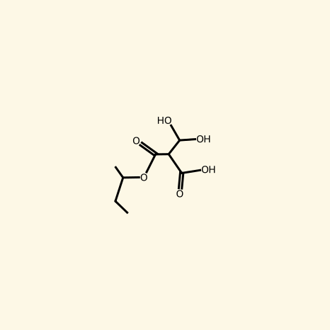 CCC(C)OC(=O)C(C(=O)O)C(O)O